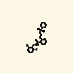 O=C(NCc1c(F)cccc1F)c1cccnc1SCCS(=O)(=O)c1ccccc1